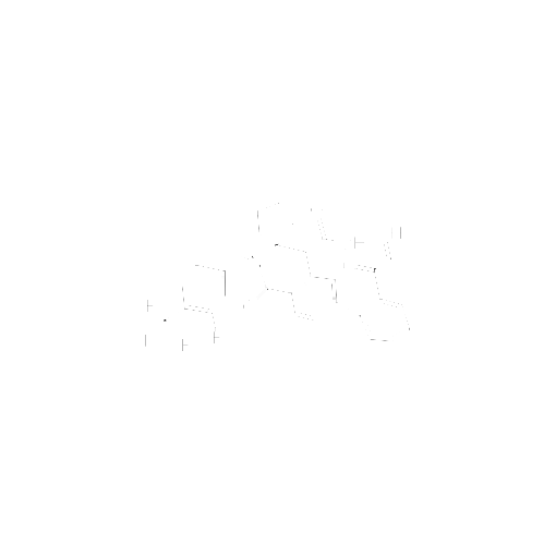 C=CC(=O)c1ccccc1-c1ccc2c(c1)[C@@H](C(=O)O)C1(CCCC1)N(Cc1ccc(C(F)(F)F)c(F)c1)C2=O